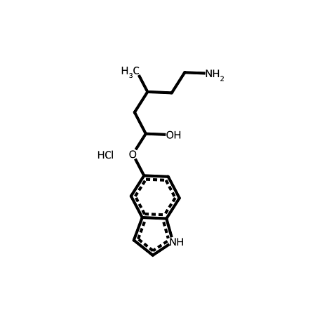 CC(CCN)CC(O)Oc1ccc2[nH]ccc2c1.Cl